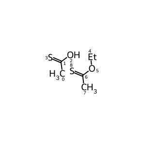 CC(O)=S.CCOC(C)=S